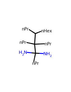 CCCCCCC(CCC)C(CCC)(CCC)C(N)(N)CCC